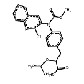 COC(=O)N(c1ccc(CC(OC(C)C)C(=O)O)cc1)c1cc2ccccc2nc1Cl